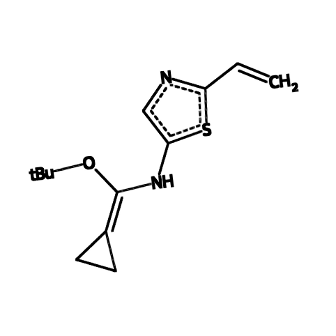 C=Cc1ncc(NC(OC(C)(C)C)=C2CC2)s1